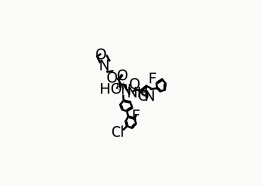 O=C(NN(Cc1ccc(-c2cc(Cl)ccc2F)cc1)C[C@@H](O)C(=O)OCCN1CCOCC1)c1cc(-c2ccccc2F)no1